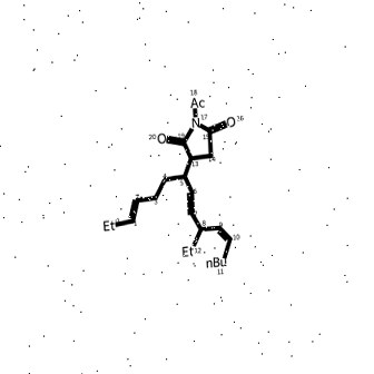 CC/C=C/CCC(/C=C/C(/C=C\CCCC)CC)C1CC(=O)N(C(C)=O)C1=O